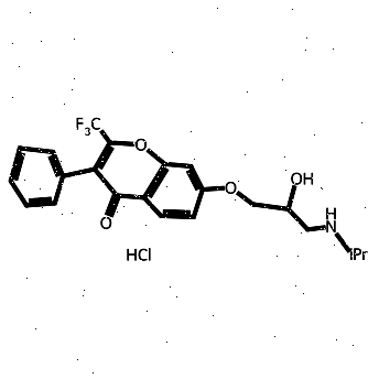 CC(C)NCC(O)COc1ccc2c(=O)c(-c3ccccc3)c(C(F)(F)F)oc2c1.Cl